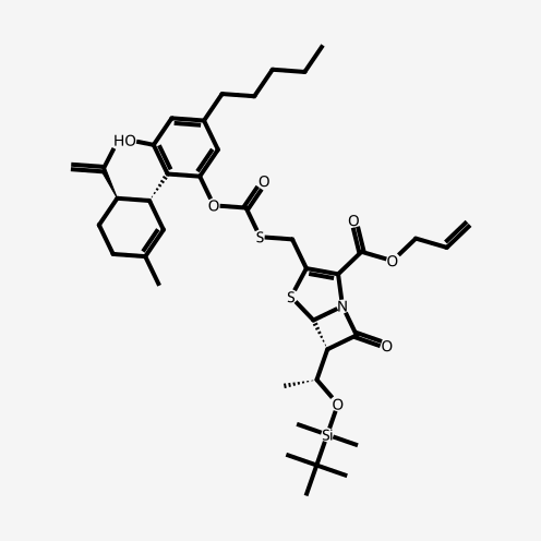 C=CCOC(=O)C1=C(CSC(=O)Oc2cc(CCCCC)cc(O)c2[C@@H]2C=C(C)CC[C@H]2C(=C)C)SC2[C@@H]([C@@H](C)O[Si](C)(C)C(C)(C)C)C(=O)N12